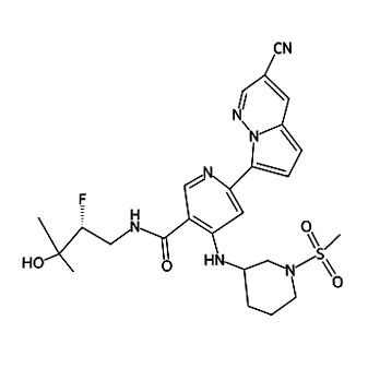 CC(C)(O)[C@H](F)CNC(=O)c1cnc(-c2ccc3cc(C#N)cnn23)cc1NC1CCCN(S(C)(=O)=O)C1